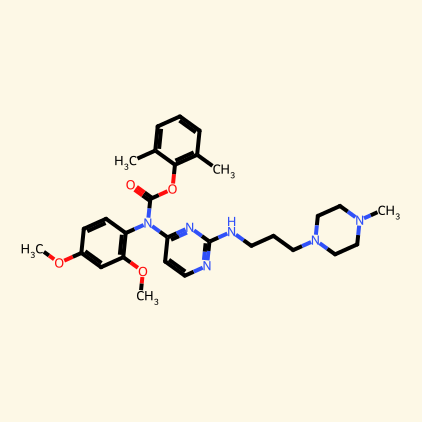 COc1ccc(N(C(=O)Oc2c(C)cccc2C)c2ccnc(NCCCN3CCN(C)CC3)n2)c(OC)c1